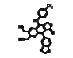 O=C1OCc2c1c(-c1ccc3c(c1)OCO3)c1cc(CO)c(CO)cc1c2Nc1ccc(C(F)(F)F)cc1